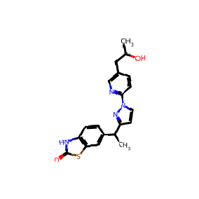 CC(O)Cc1ccc(-n2ccc(C(C)c3ccc4[nH]c(=O)sc4c3)n2)nc1